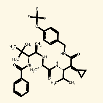 C=C(N[C@@H](C)C(=O)N[C@H](C(C(=O)NCc1ccc(OC(F)(F)F)cc1)=C1CC1)C(C)C)[C@@H](NC(=O)c1ccccc1)C(C)(C)C